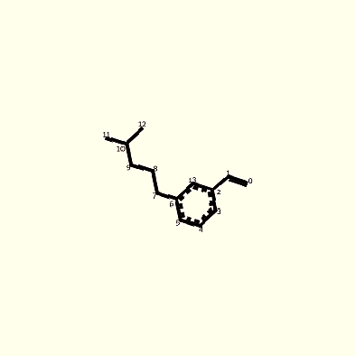 C=Cc1cccc(CCCC(C)C)c1